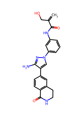 C=C(CO)C(=O)Nc1cccc(-n2cc(-c3ccc4c(c3)CCNC4=O)c(N)n2)c1